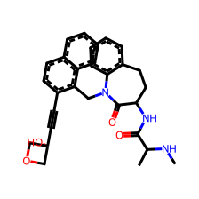 CNC(C)C(=O)NC1CCc2ccccc2N(Cc2c(C#CC3(O)COC3)ccc3ccccc23)C1=O